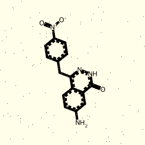 Nc1ccc2c(Cc3ccc([N+](=O)[O-])cc3)n[nH]c(=O)c2c1